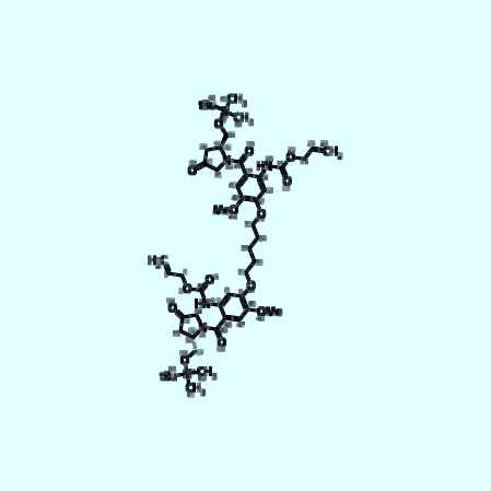 C=CCOC(=O)Nc1cc(OCCCCCOc2cc(NC(=O)OCC=C)c(C(=O)N3CC(=O)C[C@H]3CO[Si](C)(C)C(C)(C)C)cc2OC)c(OC)cc1C(=O)N1CC(=O)C[C@H]1CO[Si](C)(C)C(C)(C)C